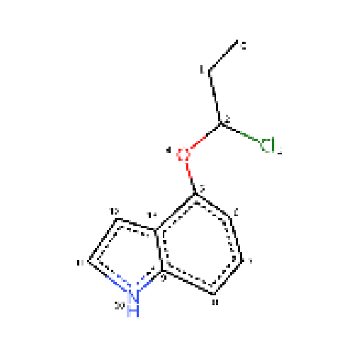 CCC(Cl)Oc1cccc2[nH]ccc12